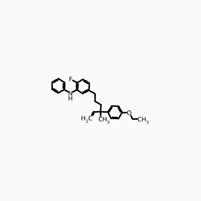 C=CC(C)(CCCc1ccc(F)c(Nc2ccccc2)c1)c1ccc(OCC)cc1